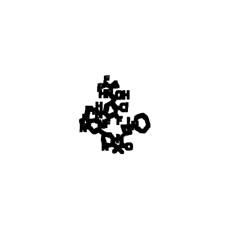 CC(C)n1cnc2cc(-c3cnc4c(c3)N([C@H]3C[C@@](C)(N5CCCCCC5)C3)C(=O)C4(C)C)nc(Nc3cc(C(O)NC4(C(F)F)CC4)c(Cl)c(F)c3F)c21